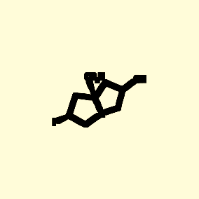 O=C(O)[C@@]12CC(O)CN1C[C@@H](F)C2